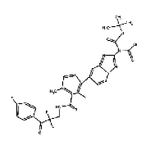 Cc1ccc(-c2ccn3nc(N(C(=O)O)C(=O)OC(C)(C)C)nc3c2)c(F)c1C(=O)NCC(F)(F)C(=O)c1ccc(F)cc1